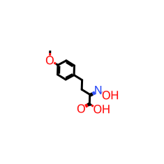 COc1ccc(CCC(=NO)C(=O)O)cc1